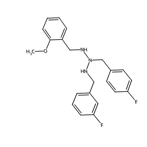 COc1ccccc1CNN(Cc1ccc(F)cc1)NCc1cccc(F)c1